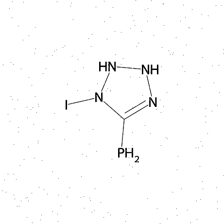 PC1=NNNN1I